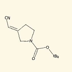 CC(C)(C)OC(=O)N1CCC(=CC#N)C1